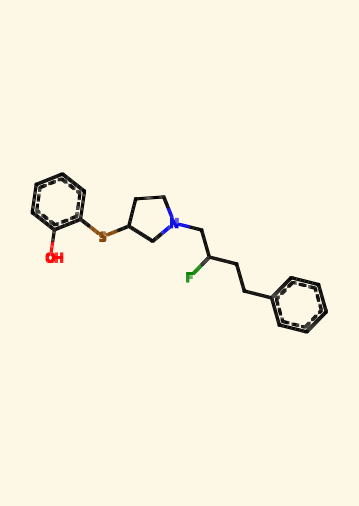 Oc1ccccc1SC1CCN(CC(F)CCc2ccccc2)C1